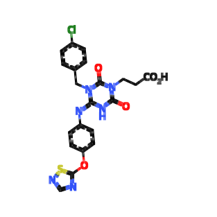 O=C(O)CCn1c(=O)[nH]/c(=N\c2ccc(Oc3ncns3)cc2)n(Cc2ccc(Cl)cc2)c1=O